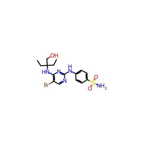 CCC(CC)(CO)Nc1nc(Nc2ccc(S(N)(=O)=O)cc2)ncc1Br